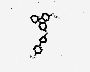 COc1ccc(C2(c3ccc(Oc4ccc(-c5ccc(C)cc5)cc4)cc3)CCCCC2)cc1